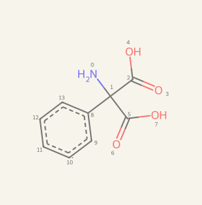 NC(C(=O)O)(C(=O)O)c1c[c]ccc1